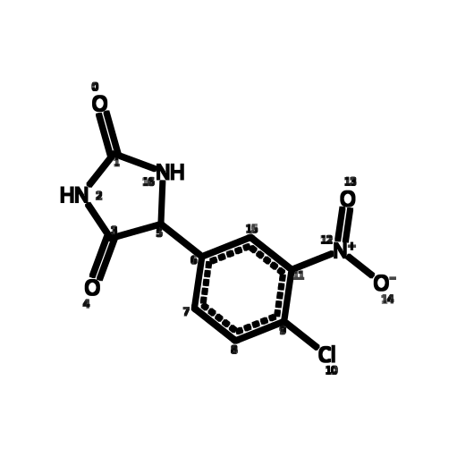 O=C1NC(=O)C(c2ccc(Cl)c([N+](=O)[O-])c2)N1